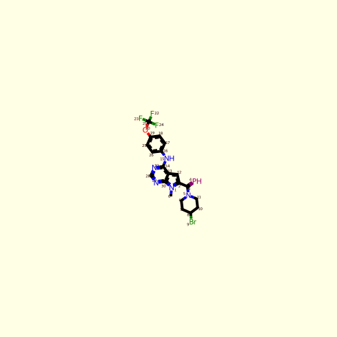 Cn1c(C(=P)N2CCC(Br)CC2)cc2c(Nc3ccc(OC(F)(F)F)cc3)ncnc21